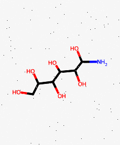 NC(O)C(O)C(O)C(O)C(O)CO